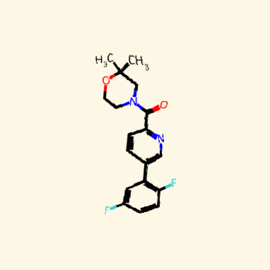 CC1(C)CN(C(=O)c2ccc(-c3cc(F)ccc3F)cn2)CCO1